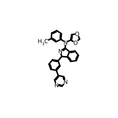 Cc1cccc(N(C2=COCO2)C2=NC(c3cccc(-c4cncnc4)c3)c3ccccc32)c1